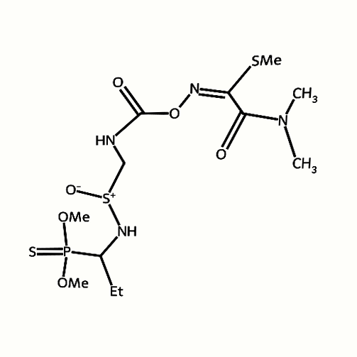 CCC(N[S+]([O-])CNC(=O)ON=C(SC)C(=O)N(C)C)P(=S)(OC)OC